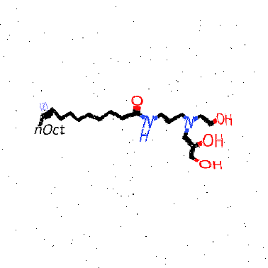 CCCCCCCC/C=C\CCCCCCCC(=O)NCCCN(CCO)CC(O)CO